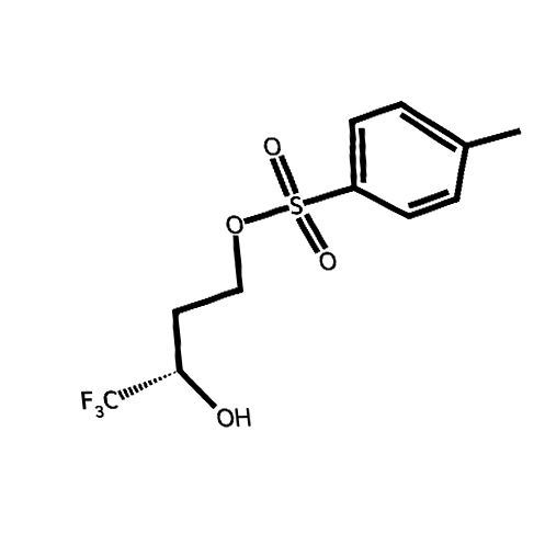 Cc1ccc(S(=O)(=O)OCC[C@H](O)C(F)(F)F)cc1